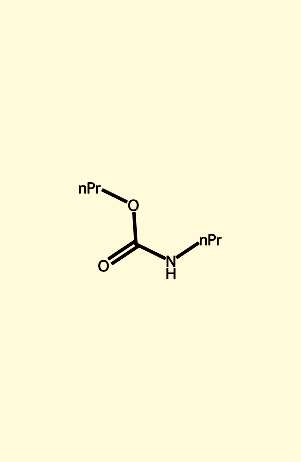 [CH2]CCNC(=O)OCCC